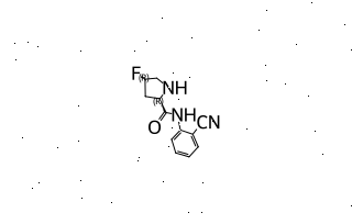 N#Cc1ccccc1NC(=O)[C@H]1C[C@@H](F)CN1